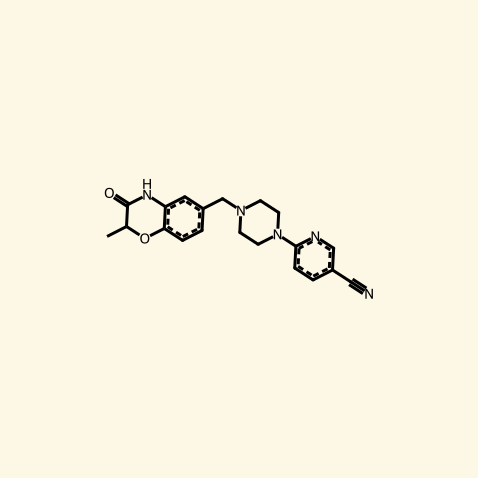 CC1Oc2ccc(CN3CCN(c4ccc(C#N)cn4)CC3)cc2NC1=O